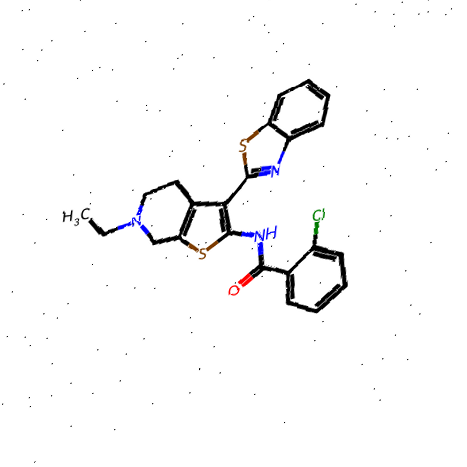 CCN1CCc2c(sc(NC(=O)c3ccccc3Cl)c2-c2nc3ccccc3s2)C1